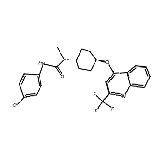 CC(C(=O)Nc1ccc(Cl)cc1)[C@H]1CC[C@H](Oc2cc(C(F)(F)F)nc3ccccc23)CC1